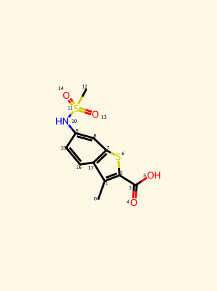 Cc1c(C(=O)O)sc2cc(NS(C)(=O)=O)ccc12